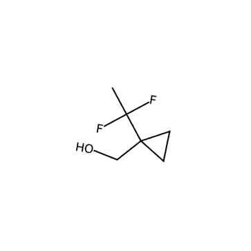 CC(F)(F)C1(CO)CC1